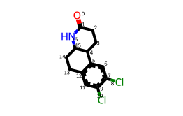 O=C1CCC2c3cc(Cl)c(Cl)cc3CCC2N1